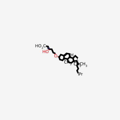 CC(C)CCC[C@@H](C)[C@H]1CCC2[C@@H]3CC=C4C[C@@H](OCCC/C(O)=C/C(=O)O)CC[C@]4(C)C3CC[C@@]21C